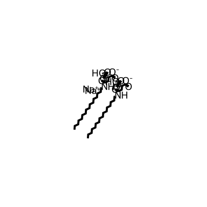 CCCCCCCCCCCCCCCCNC(=O)CC(C(=O)[O-])S(=O)(=O)O.CCCCCCCCCCCCCCCCNC(=O)CC(C(=O)[O-])S(=O)(=O)O.[Na+].[Na+]